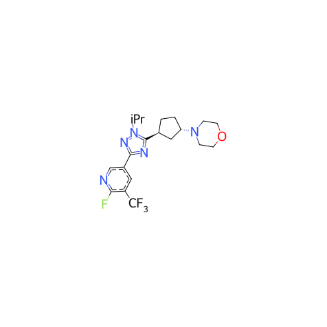 CC(C)n1nc(-c2cnc(F)c(C(F)(F)F)c2)nc1[C@H]1CC[C@H](N2CCOCC2)C1